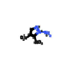 Nn1ncc([N+](=O)[O-])c1[N+](=O)[O-]